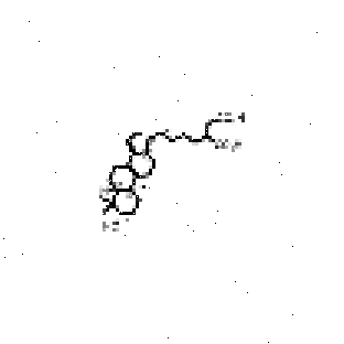 C[C@H](CCCC(CC(=O)O)C(=O)O)[C@H]1CC=C2C3=C(CC[C@@]21C)[C@@]1(C)CC[C@H](O)C(C)(C)[C@@H]1CC3